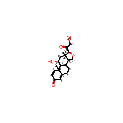 CC12C=CC(=O)C=C1CCC1C2[C@@H](O)CC2(C)C(C(=O)CO)OCC12